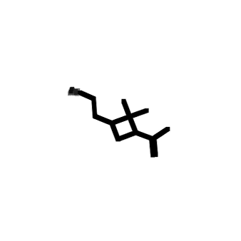 C=C(C)C1CC(CCC(C)=O)C1(C)C